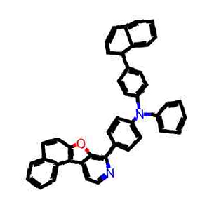 C1=Cc2ccccc2C(c2ccc(N(c3ccccc3)c3ccc(-c4nccc5c4oc4ccc6ccccc6c45)cc3)cc2)C1